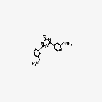 NCc1cccc(-c2nc(Cl)nc(-c3cccc(CN)c3)n2)c1